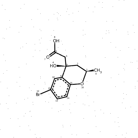 C[C@@H]1C[C@@](O)(CC(=O)O)c2cc(Br)ccc2O1